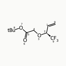 C=C[C@H](OCC(=O)OC(C)(C)C)C(F)(F)F